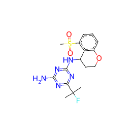 CC(C)(F)c1nc(N)nc(NC2CCOc3cccc(S(C)(=O)=O)c32)n1